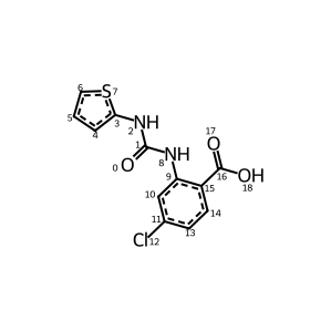 O=C(Nc1cccs1)Nc1cc(Cl)ccc1C(=O)O